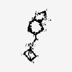 c1nc2ccc(CNC34CC(C3)C4)cc2s1